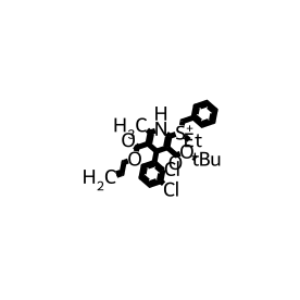 C=CCOC(=O)C1=C(C)NC([S+](CC)Cc2ccccc2)=C(C(=O)OC(C)(C)C)C1c1cccc(Cl)c1Cl